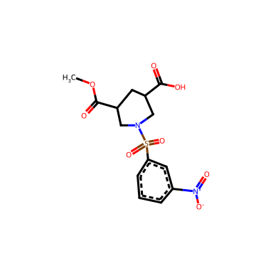 COC(=O)C1CC(C(=O)O)CN(S(=O)(=O)c2cccc([N+](=O)[O-])c2)C1